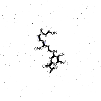 Cc1nn2c(N)c(C#N)c(NCC/C(C=O)=C/C=C\N(C)CCO)nc2c1Cl